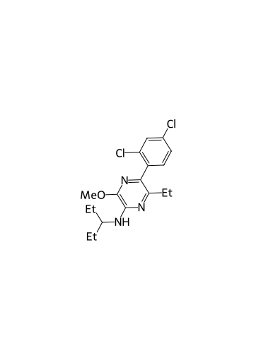 CCc1nc(NC(CC)CC)c(OC)nc1-c1ccc(Cl)cc1Cl